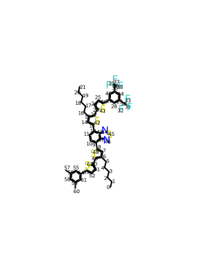 CCCCCCc1cc(-c2ccc(-c3cc(CCCCCC)c(-c4ccc(-c5cc(C(F)(F)F)cc(C(F)(F)F)c5)s4)s3)c3nsnc23)sc1-c1ccc(-c2cc(C)cc(C)c2)s1